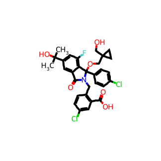 CC(C)(O)c1cc(F)c2c(c1)C(=O)N(Cc1ccc(Cl)cc1C(=O)O)C2(OCC1(CO)CC1)c1ccc(Cl)cc1